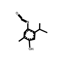 Cc1cc(N=C=O)c(C(C)C)cc1O